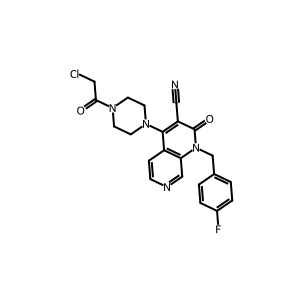 N#Cc1c(N2CCN(C(=O)CCl)CC2)c2ccncc2n(Cc2ccc(F)cc2)c1=O